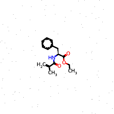 C=C(C)C(=O)N[C@@H](Cc1ccccc1)C(=O)OCC